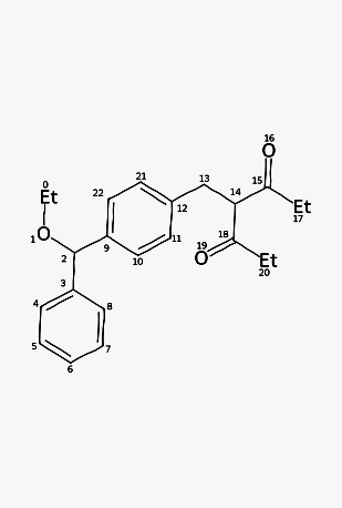 CCOC(c1ccccc1)c1ccc(CC(C(=O)CC)C(=O)CC)cc1